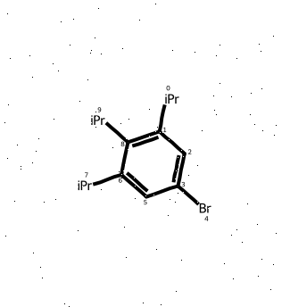 CC(C)c1cc(Br)cc(C(C)C)c1C(C)C